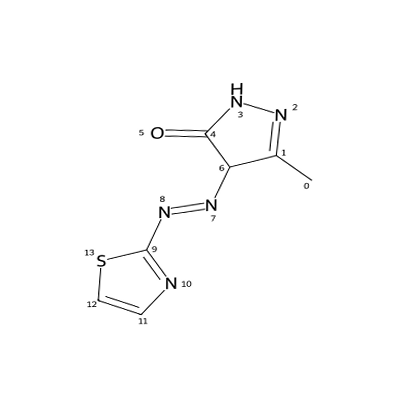 CC1=NNC(=O)C1N=Nc1nccs1